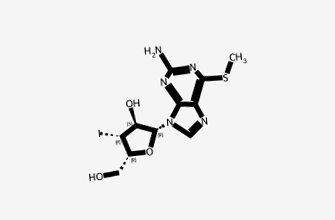 CSc1nc(N)nc2c1ncn2[C@@H]1O[C@H](CO)[C@H](I)[C@H]1O